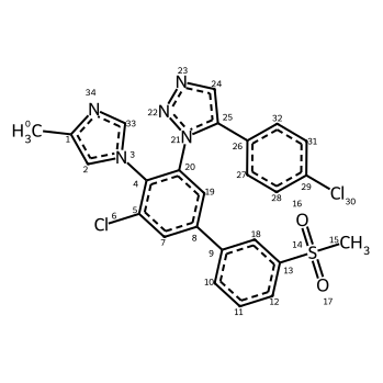 Cc1cn(-c2c(Cl)cc(-c3cccc(S(C)(=O)=O)c3)cc2-n2nncc2-c2ccc(Cl)cc2)cn1